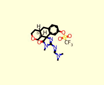 CN(C)C=NC1=NC2(C(=O)N1C)c1cc(OS(=O)(=O)C(F)(F)F)ccc1C[C@H]1CCOC[C@@H]12